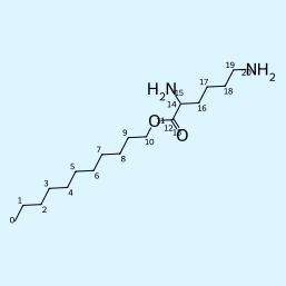 CCCCCCCCCCCOC(=O)C(N)CCCCN